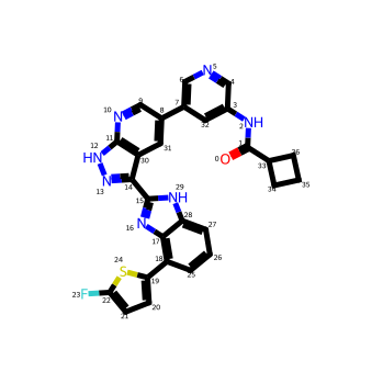 O=C(Nc1cncc(-c2cnc3[nH]nc(-c4nc5c(-c6ccc(F)s6)cccc5[nH]4)c3c2)c1)C1CCC1